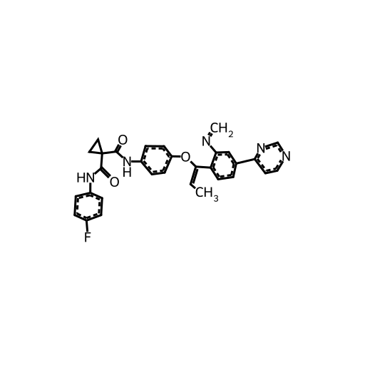 C=Nc1cc(-c2ccncn2)ccc1/C(=C\C)Oc1ccc(NC(=O)C2(C(=O)Nc3ccc(F)cc3)CC2)cc1